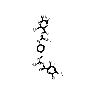 N/C(=N\C(=O)c1nc(Cl)c(N)nc1N)NC[C@H]1CC[C@H](N/C(N)=N/C(=O)c2nc(Cl)c(N)nc2N)CC1